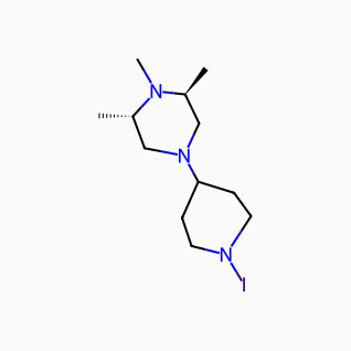 C[C@H]1CN(C2CCN(I)CC2)C[C@H](C)N1C